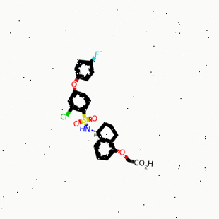 O=C(O)COc1cccc2c1CCC[C@H]2NS(=O)(=O)c1ccc(Oc2ccc(F)cc2)cc1Cl